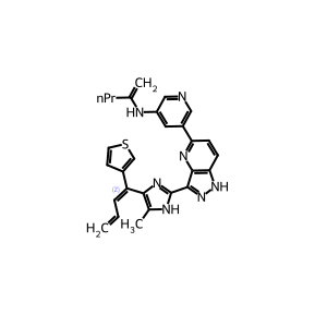 C=C/C=C(/c1ccsc1)c1nc(-c2n[nH]c3ccc(-c4cncc(NC(=C)CCC)c4)nc23)[nH]c1C